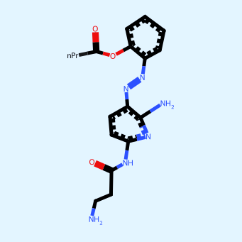 CCCC(=O)Oc1ccccc1/N=N/c1ccc(NC(=O)CCN)nc1N